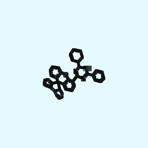 C1=CCC(C2N=C(c3cccc4c3Oc3ccccc3C43c4ccccc4C4C=CC=CC43)N=C(c3ccccc3)N2)C=C1